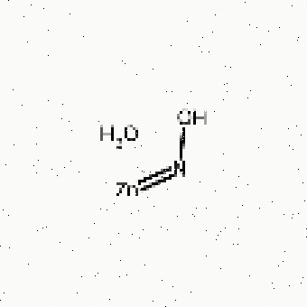 O.O[N]=[Zn]